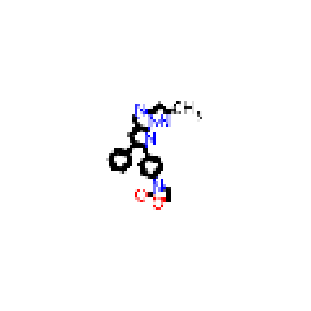 Cc1cc2ncc3cc(-c4ccccc4)c(-c4ccc(N5CCOC5=O)cc4)nc3n2n1